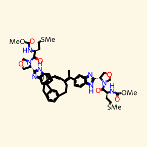 COC(=O)N[C@@H](CCSC)C(=O)N1COC[C@H]1c1nc2cc(/C(C)=C3/C=C\[C@H](C)CCc4ccc(cc4-c4ccc5[nH]c([C@@H]6COCN6C(=O)[C@H](CCSC)NC(=O)OC)nc5c4)CC3)ccc2[nH]1